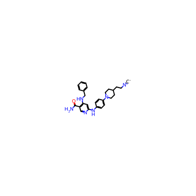 [C-]#[N+]CCC1CCN(c2ccc(Nc3cc(NCc4ccccc4)c(C(N)=O)cn3)cc2)CC1